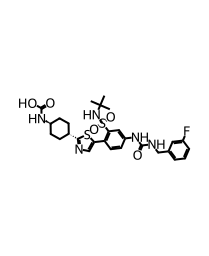 CC(C)(C)NS(=O)(=O)c1cc(NC(=O)NCc2cccc(F)c2)ccc1-c1cnc([C@H]2CC[C@H](NC(=O)O)CC2)s1